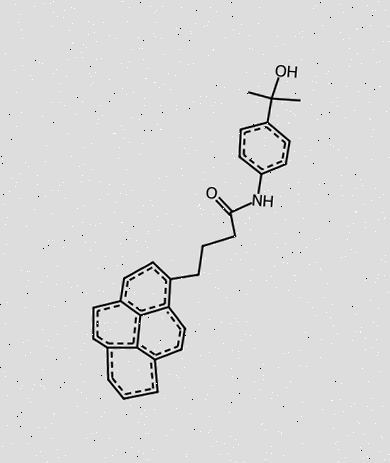 CC(C)(O)c1ccc(NC(=O)CCCc2ccc3ccc4cccc5ccc2c3c45)cc1